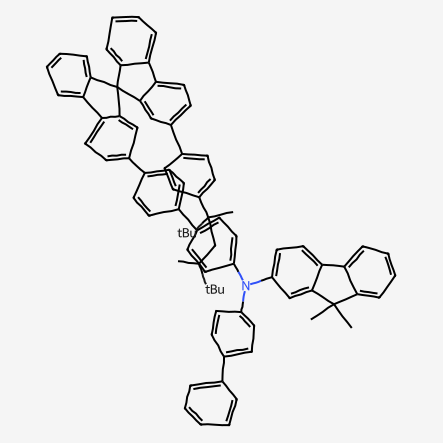 CC(CC(C)(c1ccc(-c2ccc3c(c2)C2(c4ccccc4-c4ccc(-c5ccc(-c6ccc(N(c7ccc(-c8ccccc8)cc7)c7ccc8c(c7)C(C)(C)c7ccccc7-8)cc6)cc5)cc42)c2ccccc2-3)cc1)C(C)(C)C)C(C)(C)C